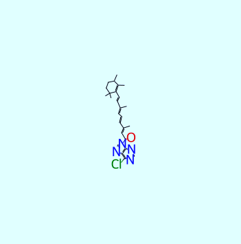 CC1=C(/C=C/C(C)=C/C=C/C(C)=C/C(=O)n2cnc3c(Cl)ncnc32)C(C)(C)CCC1C